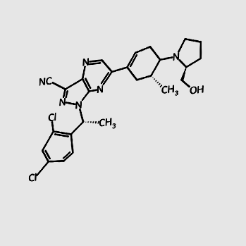 C[C@@H]1CC(c2cnc3c(C#N)nn([C@H](C)c4ccc(Cl)cc4Cl)c3n2)=CCC1N1CCC[C@H]1CO